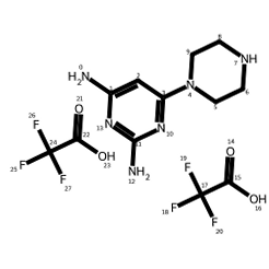 Nc1cc(N2CCNCC2)nc(N)n1.O=C(O)C(F)(F)F.O=C(O)C(F)(F)F